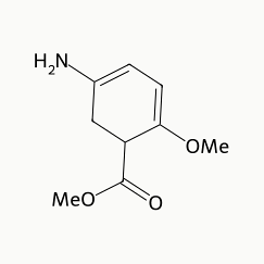 COC(=O)C1CC(N)=CC=C1OC